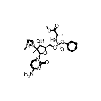 COC(=O)[C@H](C)NP(=O)(OC[C@H]1O[C@@H](n2ccc(N)nc2=O)[C@](C)(n2ccn2C)[C@@H]1O)Oc1ccccc1